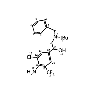 CC(C)(C)N(Cc1ccccc1)CC(O)c1cc(Cl)c(N)c(C(F)(F)F)c1